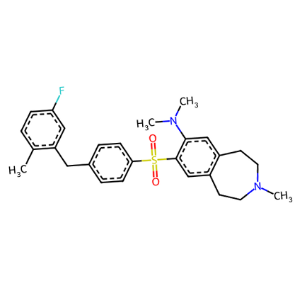 Cc1ccc(F)cc1Cc1ccc(S(=O)(=O)c2cc3c(cc2N(C)C)CCN(C)CC3)cc1